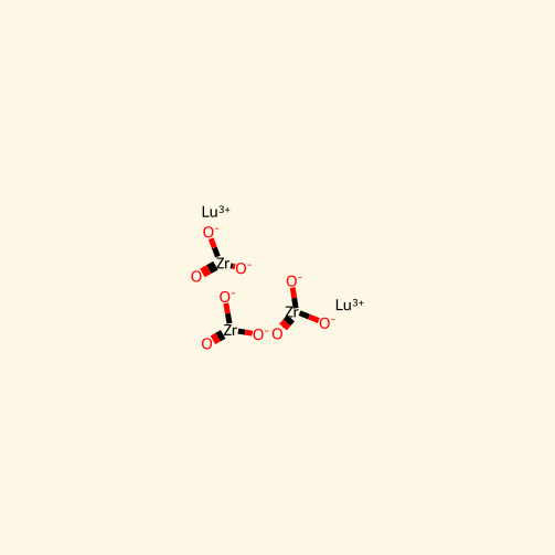 [Lu+3].[Lu+3].[O]=[Zr]([O-])[O-].[O]=[Zr]([O-])[O-].[O]=[Zr]([O-])[O-]